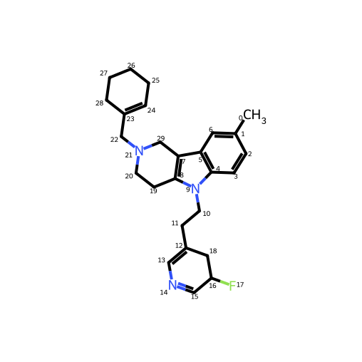 Cc1ccc2c(c1)c1c(n2CCC2=CN=CC(F)C2)CCN(CC2=CCCCC2)C1